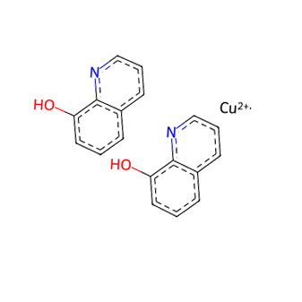 Oc1cccc2cccnc12.Oc1cccc2cccnc12.[Cu+2]